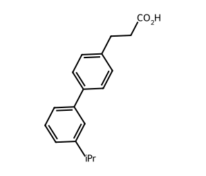 CC(C)c1cccc(-c2ccc(CCC(=O)O)cc2)c1